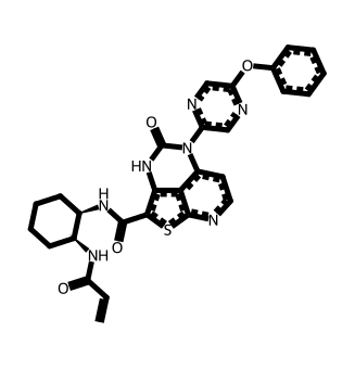 C=CC(=O)N[C@H]1CCCC[C@H]1NC(=O)c1sc2nccc3c2c1NC(=O)N3c1cnc(Oc2ccccc2)cn1